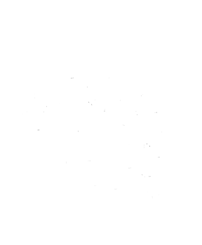 COC(=O)C1(CC(=O)N(c2ccccc2)C2CCOC3(CC3)C2)CCN(C(=O)N(C)c2ccc(F)cc2)CC1